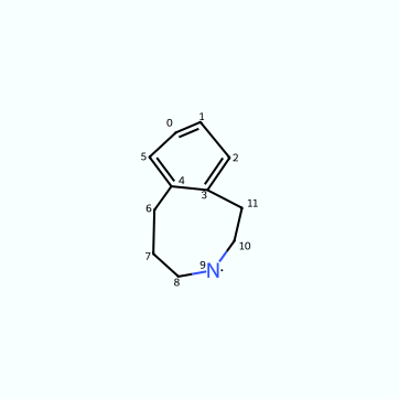 c1ccc2c(c1)CCC[N]CC2